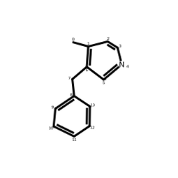 Cc1ccn[c]c1Cc1ccccc1